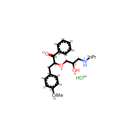 CCCNCC(O)COC(Cc1ccc(OC)cc1)C(=O)c1ccccc1.Cl